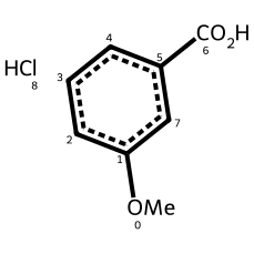 COc1cccc(C(=O)O)c1.Cl